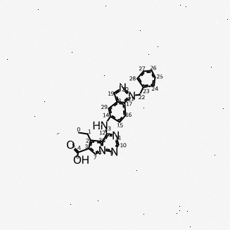 CCc1c(C(=O)O)cn2ncnc(Nc3ccc4c(cnn4Cc4ccccc4)c3)c12